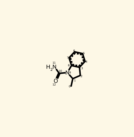 CC1Cc2ccccc2N1C(N)=O